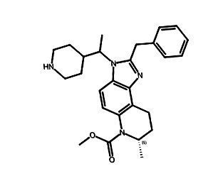 COC(=O)N1c2ccc3c(nc(Cc4ccccc4)n3C(C)C3CCNCC3)c2CC[C@@H]1C